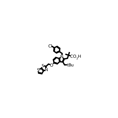 CC(C)(C)Cc1c(CC(C)(C)C(=O)O)n(Cc2ccc(Cl)cc2)c2ccc(OCc3nc4ccsc4s3)cc12